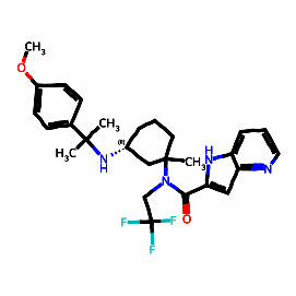 COc1ccc(C(C)(C)N[C@@H]2CCCC(C)(N(CC(F)(F)F)C(=O)c3cc4ncccc4[nH]3)C2)cc1